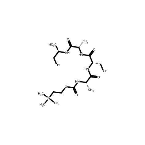 CC(C)C[C@H](NC(=O)[C@H](C)NC(=O)[C@H](CC(C)C)NC(=O)[C@H](C)NC(=O)OCC[Si](C)(C)C)C(=O)O